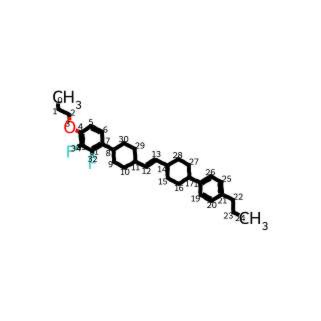 CCCOc1ccc(C2CCC(/C=C/C3CCC(c4ccc(CCC)cc4)CC3)CC2)c(F)c1F